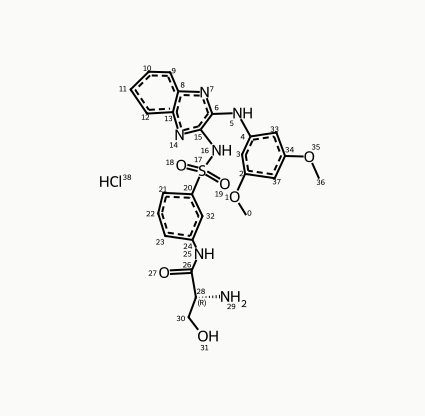 COc1cc(Nc2nc3ccccc3nc2NS(=O)(=O)c2cccc(NC(=O)[C@H](N)CO)c2)cc(OC)c1.Cl